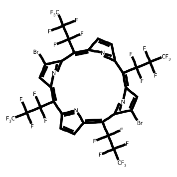 FC(F)(F)C(F)(F)C(F)(F)C1=C2C=C(Br)C(=N2)C(C(F)(F)C(F)(F)C(F)(F)F)=C2C=CC(=N2)C(C(F)(F)C(F)(F)C(F)(F)F)=C2C=C(Br)C(=N2)C(C(F)(F)C(F)(F)C(F)(F)F)=C2C=CC1=N2